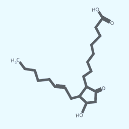 CCCCCC=CCC1C(O)CC(=O)C1CCCCCCCC(=O)O